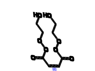 O=C(/C=C\C(=O)OOCCO)OOCCO